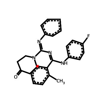 Cc1ccccc1/C(=N\C(=N/c1ccccc1)N1CCC(=O)CC1)Nc1ccc(F)cc1